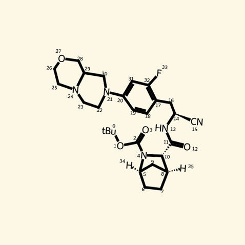 CC(C)(C)OC(=O)N1[C@@H]2CC[C@@H](C2)[C@H]1C(=O)N[C@H](C#N)Cc1ccc(N2CCN3CCOCC3C2)cc1F